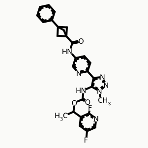 CC(OC(=O)Nc1c(-c2ccc(NC(=O)C34CC(c5ccccc5)(C3)C4)cn2)nnn1C)c1cc(F)cnc1F